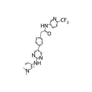 C=C/C(=C\N(C)C)Nc1ncc(-c2ccc(CC(=O)Nc3ccc(C(F)(F)F)nc3)cc2)cn1